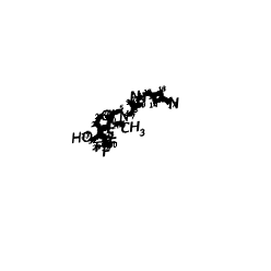 C[C@H]1C[C@@]2(CCN1Cc1cnn(CC3CC(C#N)C3)c1)OCCc1c2sc(C(F)(F)F)c1CO